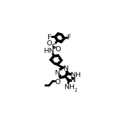 CCCOc1nc(-c2ccc(NS(=O)(=O)c3cc(F)ccc3F)cc2)nc2[nH]nc(N)c12